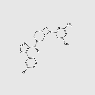 Cc1cc(C)nc(N2CC3CCN(C(=O)c4ncoc4-c4cccc(Cl)c4)CC32)n1